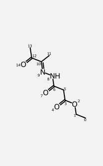 CCOC(=O)CC(=O)N/N=C(\C)C(C)=O